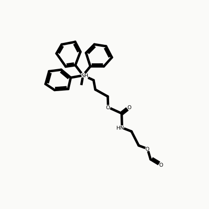 C[SH](CCCOC(=O)NCCOC=O)(c1ccccc1)(c1ccccc1)c1ccccc1